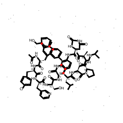 CC(=O)N[C@H](Cc1ccc2ccccc2c1)C(=O)N[C@H](Cc1ccc(Cl)cc1)C(=O)N[C@H](Cc1cccnc1)C(=O)N[C@@H](CO)C(=O)N[C@@H](Cc1ccc(NC(=O)[C@@H]2CC(=O)NC(=O)N2)cc1)C(=O)N[C@H](Cc1ccc(N(C)CCCO)cc1)C(=O)N[C@@H](CC(C)C)C(=O)N[C@@H](CCCCNC(C)C)C(=O)N1CCC[C@H]1C(=O)N[C@H](C)C(C)=O